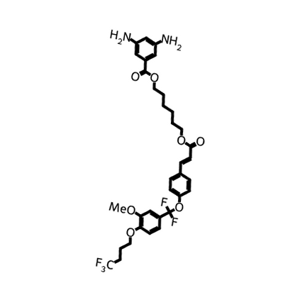 COc1cc(C(F)(F)Oc2ccc(C=CC(=O)OCCCCCCOC(=O)c3cc(N)cc(N)c3)cc2)ccc1OCCCC(F)(F)F